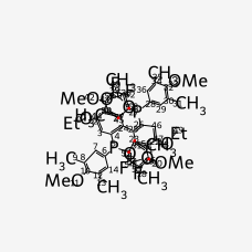 CCOc1cc(P(c2cc(C)c(OC)c(C)c2)c2cc(C)c(OC)c(C)c2)c(-c2c(P(c3cc(C)c(OC)c(C)c3)c3cc(C)c(OC)c(C)c3)cc(OCC)c3c2OC(F)(F)O3)c2c1OC(F)(F)O2